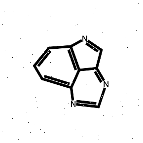 C1=Nc2cccc3ncnc1c23